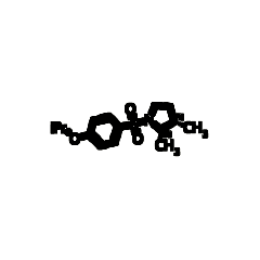 CC(C)Oc1ccc(S(=O)(=O)N2CC[C@H](C)[C@@H]2C)cc1